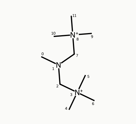 CN(C[N+](C)(C)C)C[N+](C)(C)C